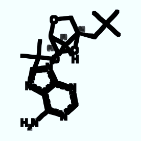 CC(C)(C)C[C@@]12COC([C@H](n3cnc4c(N)ncnc43)O1)[C@H]2OC(C)(C)C